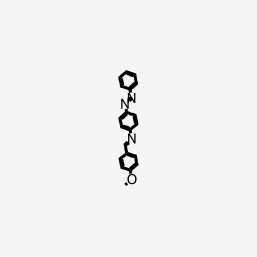 COc1ccc(C=Nc2ccc(/N=N/c3ccccc3)cc2)cc1